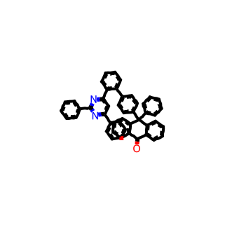 O=C1c2ccccc2C(c2ccccc2)(c2ccc(-c3ccccc3-c3cc(-c4ccccc4)nc(-c4ccccc4)n3)cc2)c2ccccc21